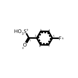 O=C(c1ccc(F)cc1)S(=O)(=O)O